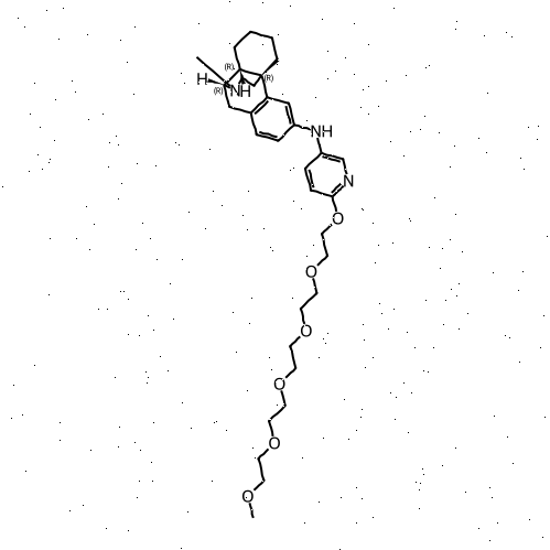 COCCOCCOCCOCCOCCOc1ccc(Nc2ccc3c(c2)[C@@]24CCCC[C@H]2[C@@H](C3)N(C)CC4)cn1